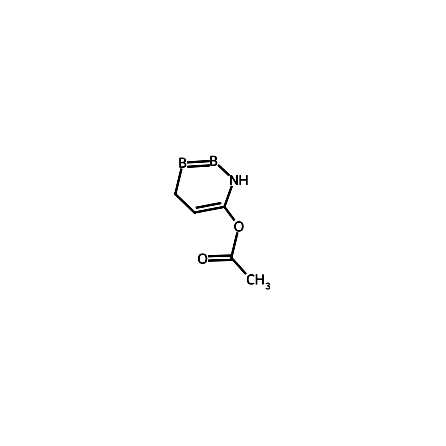 CC(=O)OC1=CCB=BN1